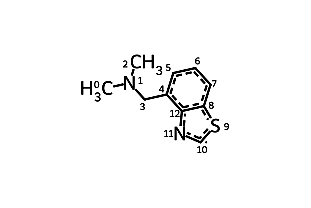 CN(C)Cc1cccc2s[c]nc12